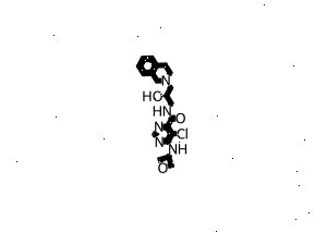 O=C(NC[C@H](O)CN1CCc2ccccc2C1)c1ncnc(NC2COC2)c1Cl